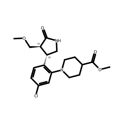 COC[C@H]1C(=O)NC[C@@H]1c1ccc(Cl)cc1N1CCC(C(=O)OC)CC1